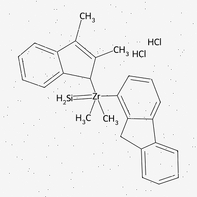 CC1=C(C)[CH]([Zr]([CH3])([CH3])(=[SiH2])[c]2cccc3c2Cc2ccccc2-3)c2ccccc21.Cl.Cl